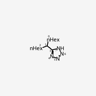 CCCCCCC(CCCCCC)c1nnn[nH]1